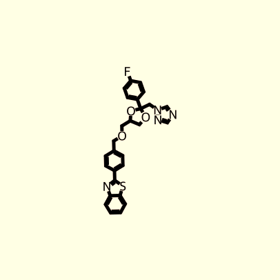 Fc1ccc(C2(Cn3cncn3)OCC(COCc3ccc(-c4nc5ccccc5s4)cc3)O2)cc1